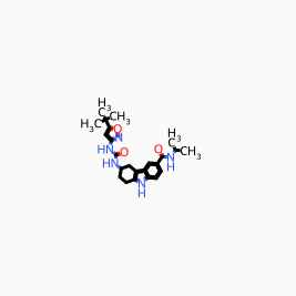 CC(C)NC(=O)c1ccc2[nH]c3c(c2c1)CC(NC(=O)Nc1cc(C(C)(C)C)on1)CC3